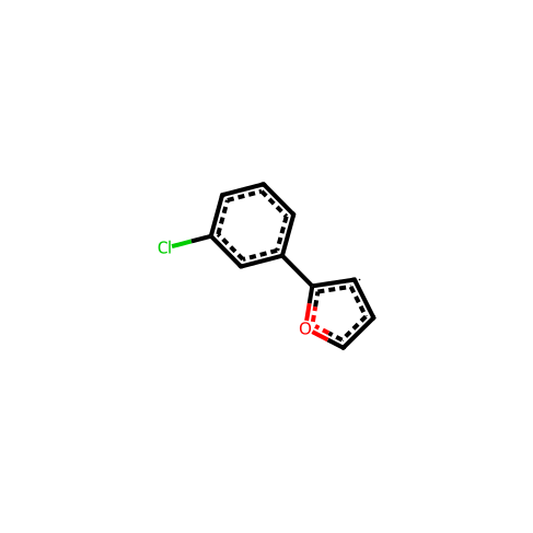 Clc1cccc(-c2[c]cco2)c1